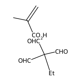 C=C(C)C(=O)O.CCC(C=O)(C=O)C=O